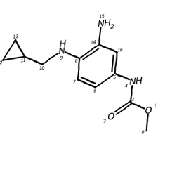 COC(=O)Nc1ccc(NCC2CC2)c(N)c1